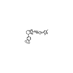 Cc1cc(N2CC(=CNc3nc4n(n3)CCCC4c3ccc4c(c3)OCO4)C2)sn1